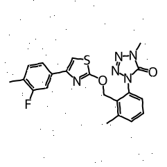 Cc1ccc(-c2csc(OCc3c(C)cccc3-n3nnn(C)c3=O)n2)cc1F